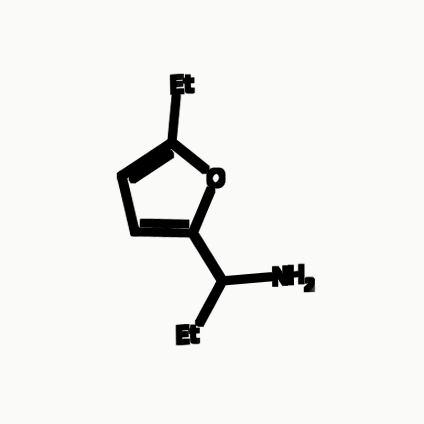 CCc1ccc(C(N)CC)o1